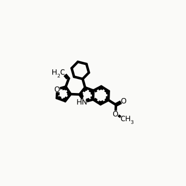 C=Cc1occc1-c1[nH]c2cc(C(=O)OC)ccc2c1C1CCCCC1